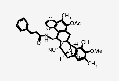 COc1c(C)cc2c(c1O)[C@@H]1C3Cc4c(OC(C)=O)c(C)c5c(c4[C@H](CNC(=O)CCc4ccccc4)N3[C@@H](C#N)[C@H](C2)N1C)OCO5